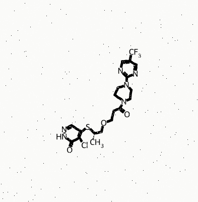 C[C@@H](COCCC(=O)N1CCN(c2ncc(C(F)(F)F)cn2)CC1)Sc1cn[nH]c(=O)c1Cl